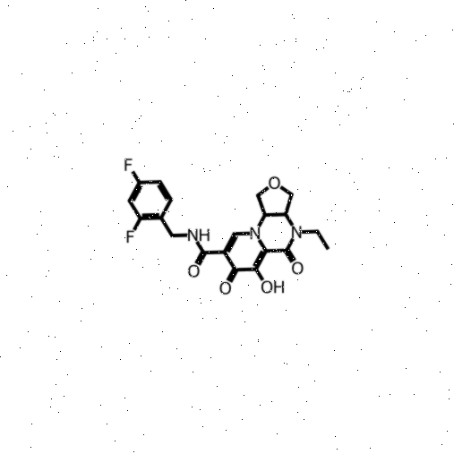 CCN1C(=O)c2c(O)c(=O)c(C(=O)NCc3ccc(F)cc3F)cn2C2COCC21